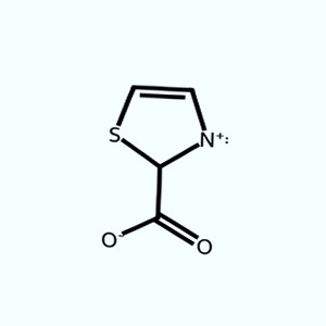 O=C([O-])C1[N+]C=CS1